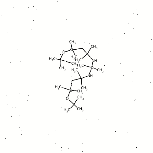 CC(C)(C[Si](C)(C)OC(C)(C)C)[NH][Zr]([CH3])([CH3])[NH]C(C)(C)C[Si](C)(C)OC(C)(C)C